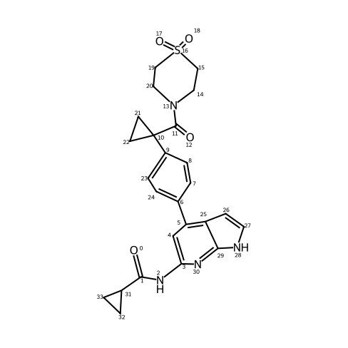 O=C(Nc1cc(-c2ccc(C3(C(=O)N4CCS(=O)(=O)CC4)CC3)cc2)c2cc[nH]c2n1)C1CC1